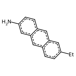 CCc1ccc2cc3cc(N)ccc3cc2c1